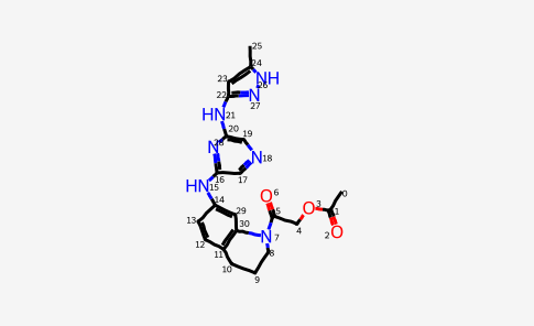 CC(=O)OCC(=O)N1CCCc2ccc(Nc3cncc(Nc4cc(C)[nH]n4)n3)cc21